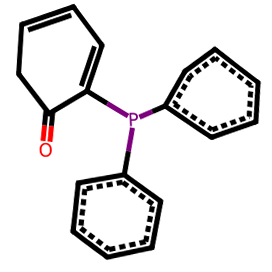 O=C1CC=CC=C1P(c1ccccc1)c1ccccc1